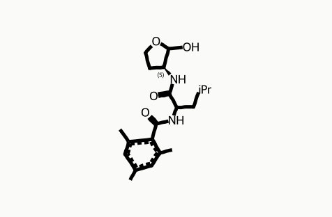 Cc1cc(C)c(C(=O)NC(CC(C)C)C(=O)N[C@H]2CCOC2O)c(C)c1